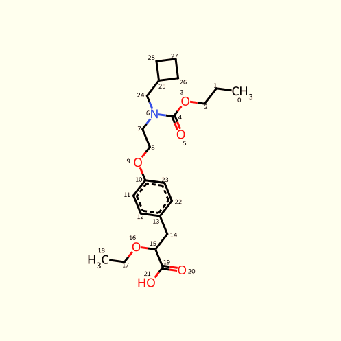 CCCOC(=O)N(CCOc1ccc(CC(OCC)C(=O)O)cc1)CC1CCC1